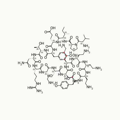 CC[C@H](C)[C@H](NC(=O)[C@@H]1C[C@@H](O)CN1C(=O)[C@@H](N)C(C)C)C(=O)N[C@@H](CCC(=O)O)C(=O)N[C@@H](Cc1ccc(O)cc1)C(=O)N[C@H](C(=O)N[C@@H](CC(N)=O)C(=O)N[C@@H](CCCNC(=N)N)C(=O)N[C@@H](CCN)C(=O)N[C@@H](CO)C(=O)N[C@H](CCN)C(=O)N[C@@H](CCCCN)C(=O)N[C@@H](CCN)C(=O)N[C@@H](CCN)C(=O)N[C@@H](CCN)C(=O)N[C@@H](Cc1ccc(O)cc1)C(=O)O)[C@@H](C)O